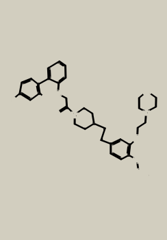 COc1ccc(CCC2CCN(C(=O)COc3ccccc3-c3ccc(F)cc3O)CC2)cc1OCCN1CCOCC1